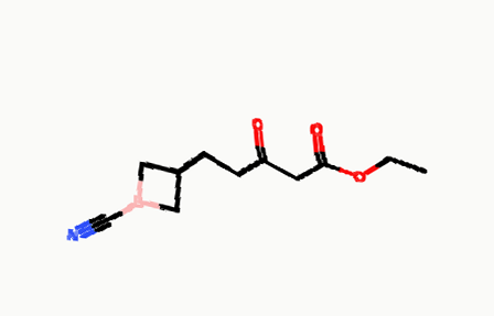 CCOC(=O)CC(=O)CCC1CB(C#N)C1